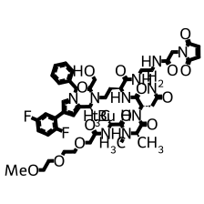 COCCOCCOCC(=O)N[C@@H](C)C(=O)N(C)[C@@H](C)C(=O)N[C@@H](CC(N)=O)C(=O)N[C@@H](CCN(C(=O)CO)[C@@H](c1cc(-c2cc(F)ccc2F)cn1Cc1ccccc1)C(C)(C)C)C(=O)NCCNC(=O)CN1C(=O)C=CC1=O